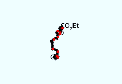 CCOC(=O)C1CCN(C2CC(C)(C)C(C=CC(C)=CC=CC(C)=CC=CC=C(C)C=CC=C(C)C=CC3=C(C)C(=O)[CH]CC3(C)C)=C(C)C2=O)CC1